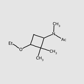 CCOC1CC(N(C)C(C)=O)C1(C)C